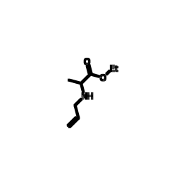 C=CCNC(C)C(=O)OCC